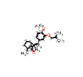 C=C(C)COc1cc(C=C2C(=O)C3(C)CCC2C3(C)C)ccc1OC